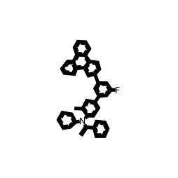 C=C(c1ccccc1)N(c1ccccc1)c1ccc(-c2cc(F)cc(-c3ccc4c5ccccc5c5ccccc5c4c3)c2)cc1C